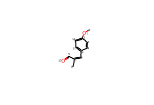 COc1ccc(C=C(C)C=O)cc1